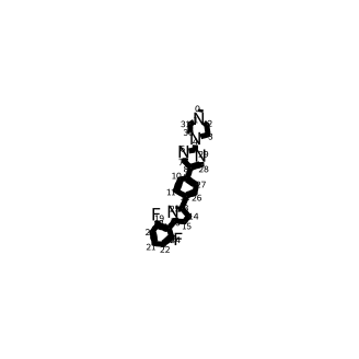 CN1CCN(c2ncc(-c3ccc(C4CCC(c5c(F)cccc5F)=N4)cc3)cn2)CC1